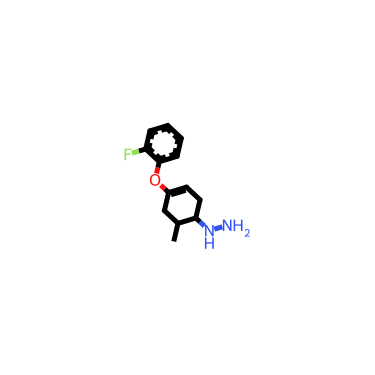 CC1CC(Oc2ccccc2F)=CCC1NN